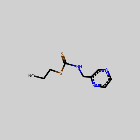 N#CCCSC(=S)NCc1cnccn1